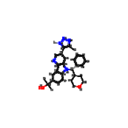 Cc1nnn(C)c1-c1cnc2c3cc(C(C)(C)O)ccc3n([C@H](c3ccccc3)C3CCOCC3)c2c1